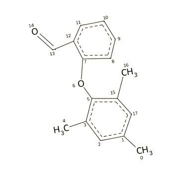 Cc1cc(C)c(Oc2ccccc2[C]=O)c(C)c1